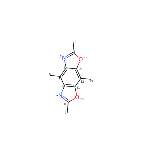 Cc1nc2c(C)c3nc(C)oc3c(C)c2o1